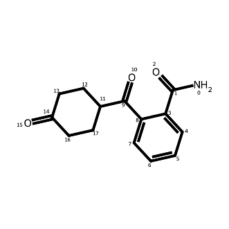 NC(=O)c1ccccc1C(=O)C1CCC(=O)CC1